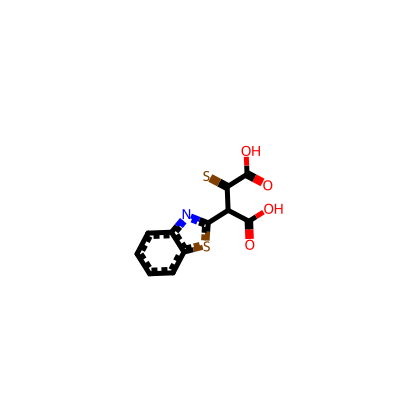 O=C(O)C(=S)C(C(=O)O)c1nc2ccccc2s1